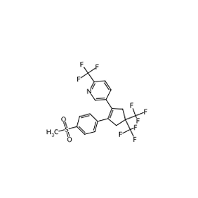 CS(=O)(=O)c1ccc(C2=C(c3ccc(C(F)(F)F)nc3)CC(C(F)(F)F)(C(F)(F)F)C2)cc1